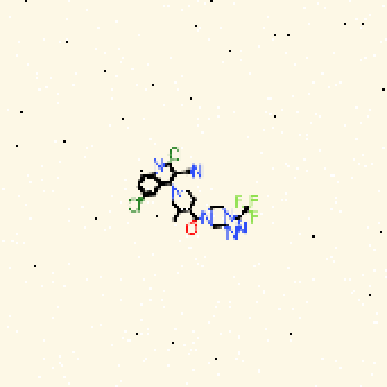 CC1CN(c2c(C#N)c(Cl)nc3ccc(Cl)cc23)CCC1C(=O)N1CCn2c(nnc2C(F)(F)F)C1